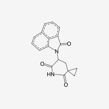 O=C1NC(=O)C2(CC2)CC1N1C(=O)c2cccc3cccc1c23